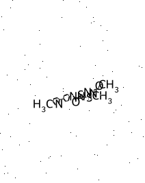 COCCN(C)c1nc2sc(C(=O)Nc3ccc(-c4ccc(C)cn4)cc3)cc2s1